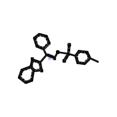 Cc1ccc(S(=O)(=O)O/N=C(\c2ccccc2)c2nc3ccccc3s2)cc1